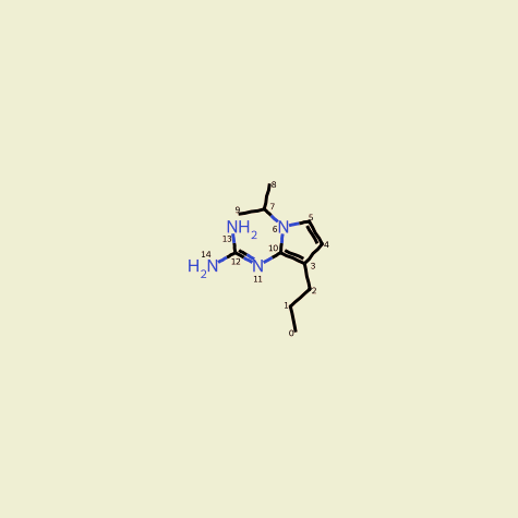 CCCc1ccn(C(C)C)c1N=C(N)N